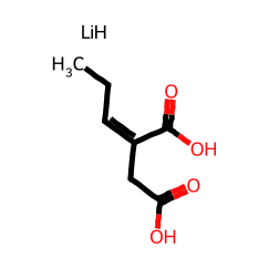 CCC=C(CC(=O)O)C(=O)O.[LiH]